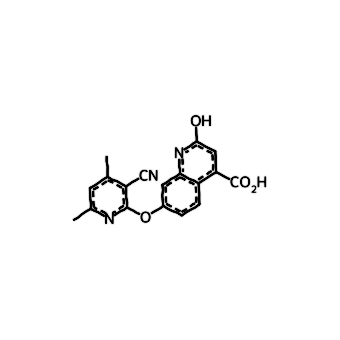 Cc1cc(C)c(C#N)c(Oc2ccc3c(C(=O)O)cc(O)nc3c2)n1